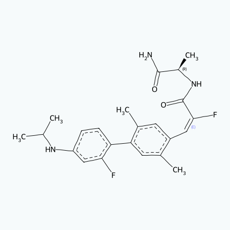 Cc1cc(-c2ccc(NC(C)C)cc2F)c(C)cc1/C=C(/F)C(=O)N[C@H](C)C(N)=O